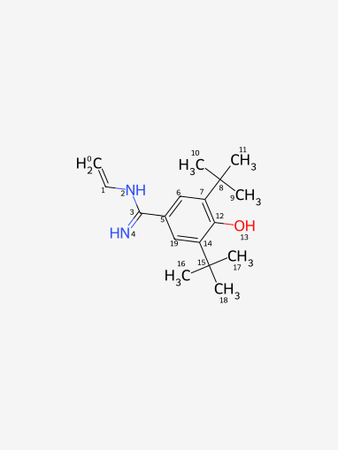 C=CNC(=N)c1cc(C(C)(C)C)c(O)c(C(C)(C)C)c1